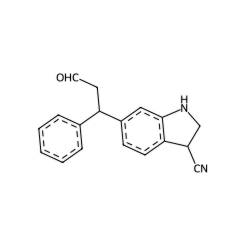 N#CC1CNc2cc(C(CC=O)c3ccccc3)ccc21